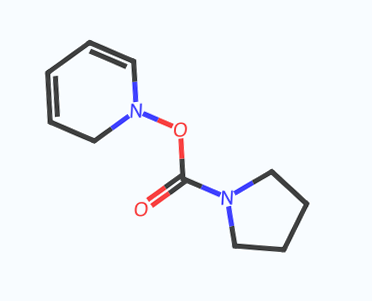 O=C(ON1C=CC=CC1)N1CCCC1